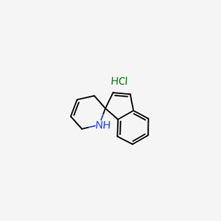 C1=CCC2(C=Cc3ccccc32)NC1.Cl